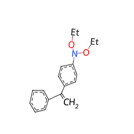 C=C(c1ccccc1)c1ccc(N(OCC)OCC)cc1